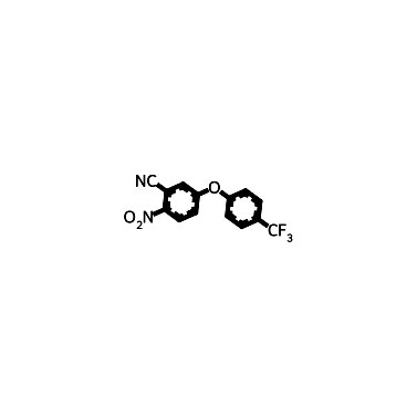 N#Cc1cc(Oc2ccc(C(F)(F)F)cc2)ccc1[N+](=O)[O-]